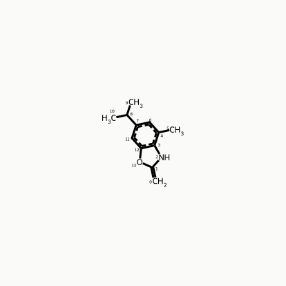 C=C1Nc2c(C)cc(C(C)C)cc2O1